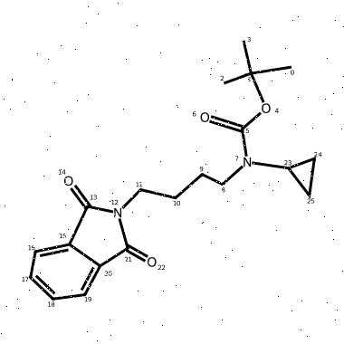 CC(C)(C)OC(=O)N(CCCCN1C(=O)c2ccccc2C1=O)C1CC1